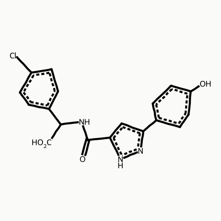 O=C(NC(C(=O)O)c1ccc(Cl)cc1)c1cc(-c2ccc(O)cc2)n[nH]1